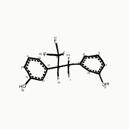 Oc1cccc(C(F)(F)C(F)(c2cccc(O)c2)C(F)(F)F)c1